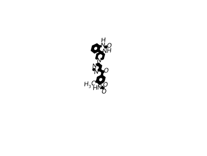 Cc1cc(C(=O)c2cc(N3CCC4(CC3)NC(=O)Nc3ccccc34)ncn2)cc2oc(=O)[nH]c12